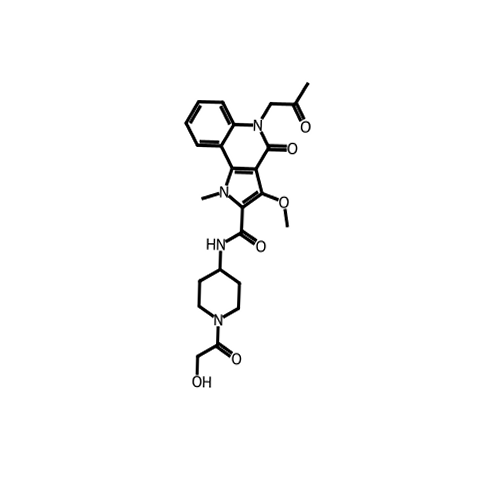 COc1c(C(=O)NC2CCN(C(=O)CO)CC2)n(C)c2c1c(=O)n(CC(C)=O)c1ccccc21